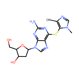 Cn1cnc(N=O)c1Sc1nc(N)nc2c1ncn2C1CC(O)C(CO)O1